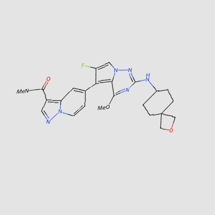 CNC(=O)c1cnn2ccc(-c3c(F)cn4nc(NC5CCC6(CC5)COC6)nc(OC)c34)cc12